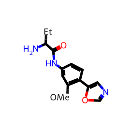 CCC(N)C(=O)Nc1ccc(-c2cnco2)c(OC)c1